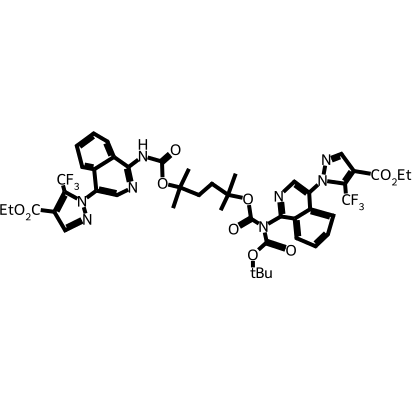 CCOC(=O)c1cnn(-c2cnc(NC(=O)OC(C)(C)CCC(C)(C)OC(=O)N(C(=O)OC(C)(C)C)c3ncc(-n4ncc(C(=O)OCC)c4C(F)(F)F)c4ccccc34)c3ccccc23)c1C(F)(F)F